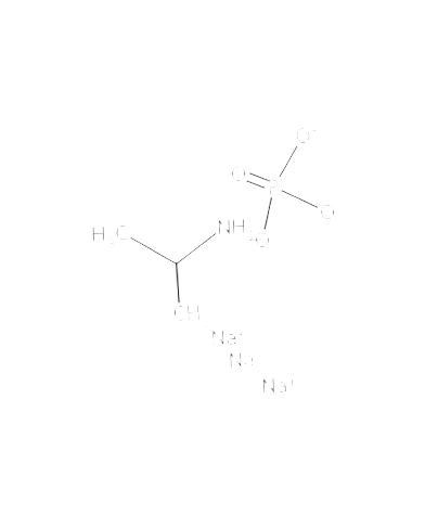 CC(C)N.O=P([O-])([O-])[O-].[Na+].[Na+].[Na+]